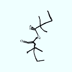 CCC(C)(C)C(=O)OC(=O)C(C)(C)CC